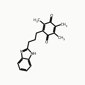 CC1=C(C)C(=O)C(CCCc2nc3ccccc3[nH]2)=C(C)C1=O